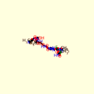 Cc1ncsc1-c1ccc(CNC(=O)[C@@H]2C[C@@H](O)CN2C(=O)C(NC(=O)COCCOCCNC(=O)CCC(=O)N2CCN(c3ncc(-c4cc(NC(=O)c5c[nH]c(=O)cc5C(F)(F)F)c(N5C[C@@H](C)N(C)[C@@H](C)C5)cc4F)cn3)CC2)C(C)(C)C)cc1